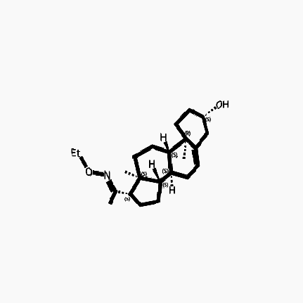 CCON=C(C)[C@H]1CC[C@H]2[C@@H]3CC=C4C[C@@H](O)CC[C@]4(C)[C@H]3CC[C@]12C